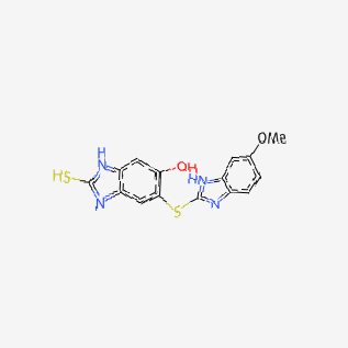 COc1ccc2nc(Sc3cc4nc(S)[nH]c4cc3O)[nH]c2c1